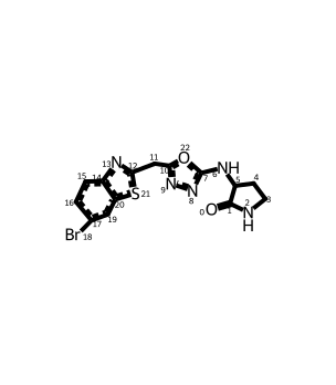 O=C1NCCC1Nc1nnc(Cc2nc3ccc(Br)cc3s2)o1